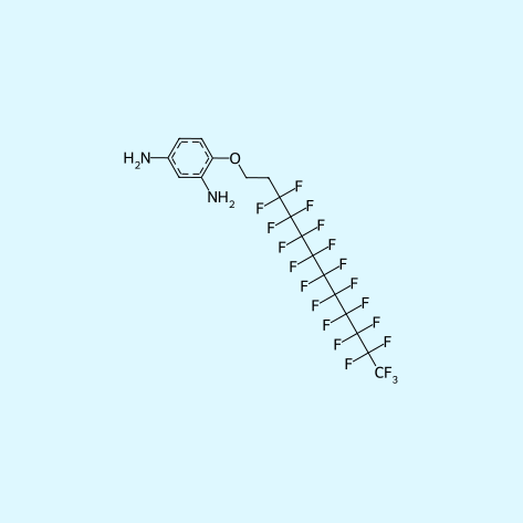 Nc1ccc(OCCC(F)(F)C(F)(F)C(F)(F)C(F)(F)C(F)(F)C(F)(F)C(F)(F)C(F)(F)C(F)(F)C(F)(F)F)c(N)c1